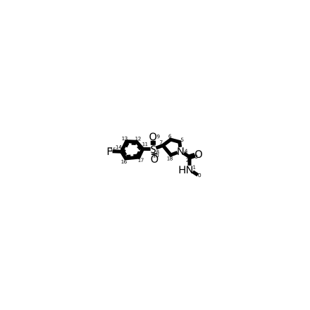 CNC(=O)N1CCC(S(=O)(=O)c2ccc(F)cc2)C1